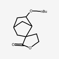 CCCCOC1CC2CC1C1(CCOC1=O)C2